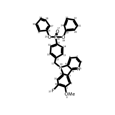 COc1cc2c3ncccc3n(Cc3ccc(P(=O)(Oc4ccccc4)Oc4ccccc4)cc3)c2cc1F